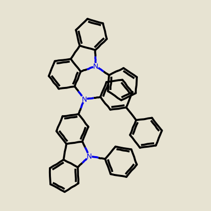 c1ccc(-c2cccc(N(c3ccc4c5ccccc5n(-c5ccccc5)c4c3)c3cccc4c5ccccc5n(-c5ccccc5)c34)c2)cc1